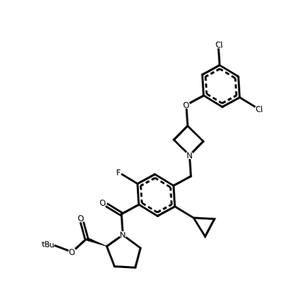 CC(C)(C)OC(=O)[C@@H]1CCCN1C(=O)c1cc(C2CC2)c(CN2CC(Oc3cc(Cl)cc(Cl)c3)C2)cc1F